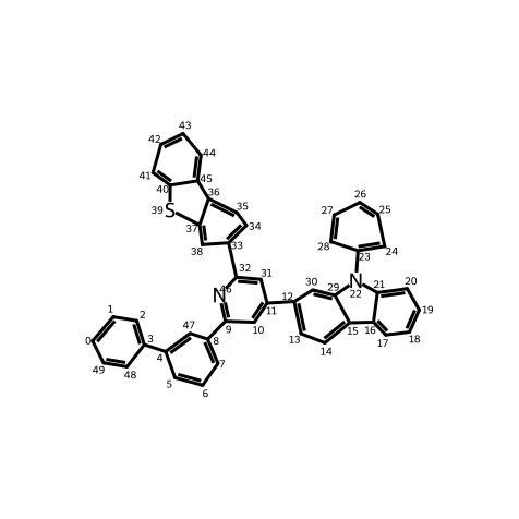 c1ccc(-c2cccc(-c3cc(-c4ccc5c6ccccc6n(-c6ccccc6)c5c4)cc(-c4ccc5c(c4)sc4ccccc45)n3)c2)cc1